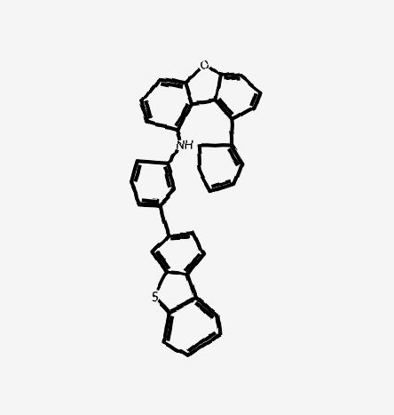 C1=CCCC(c2cccc3oc4cccc(Nc5cccc(-c6ccc7c(c6)sc6ccccc67)c5)c4c23)=C1